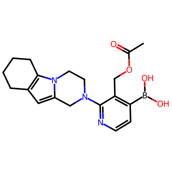 CC(=O)OCc1c(B(O)O)ccnc1N1CCn2c(cc3c2CCCC3)C1